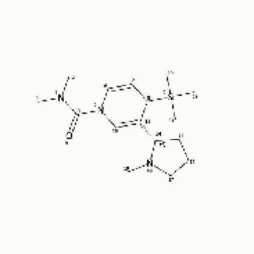 CN(C)C(=O)N1C=CC([Si](C)(C)C)C([C@@H]2CCCN2C)=C1